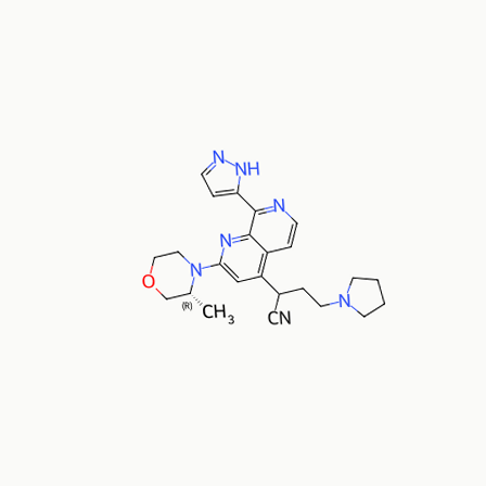 C[C@@H]1COCCN1c1cc(C(C#N)CCN2CCCC2)c2ccnc(-c3ccn[nH]3)c2n1